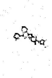 Cc1cn2nc([C@@H]3CCCCN3C(=O)c3cccc(F)n3)cc2nc1N1C[C@@H](C)[C@@H](O)C1